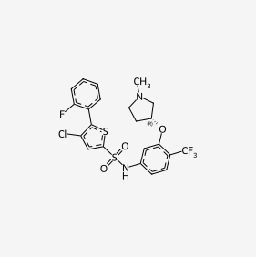 CN1CC[C@@H](Oc2cc(NS(=O)(=O)c3cc(Cl)c(-c4ccccc4F)s3)ccc2C(F)(F)F)C1